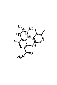 CC[C@H](N)[C@@H](CC)Nc1nc(Nc2cnc(C)c(C)c2)c(C(N)=O)cc1F